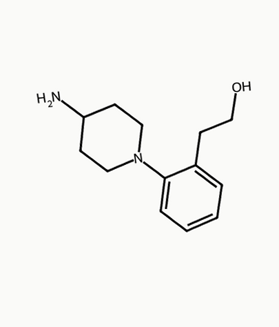 NC1CCN(c2ccccc2CCO)CC1